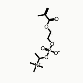 C=C(C)C(=O)OCCOP(=O)([O-])OC(C)[N+](C)(C)C